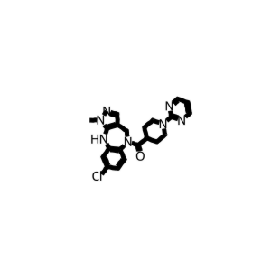 Cn1ncc2c1Nc1cc(Cl)ccc1N(C(=O)C1CCN(c3ncccn3)CC1)C2